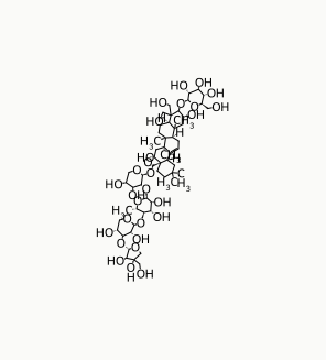 C[C@@H]1O[C@@H](O[C@H]2[C@H](OC(=O)[C@]34CCC(C)(C)C[C@H]3C3=CC[C@@H]5[C@@]6(C)C[C@H](O)[C@H](O[C@@H]7O[C@H](CO)[C@@H](O)[C@H](O)[C@H]7O)C(CO)(CO)[C@@H]6CC[C@@]5(C)[C@]3(C)C[C@H]4O)OC[C@H](O)[C@@H]2O)[C@H](O)[C@H](O)[C@H]1O[C@@H]1OC[C@@H](O)[C@H](O[C@@H]2OC[C@](O)(CO)[C@H]2O)[C@H]1O